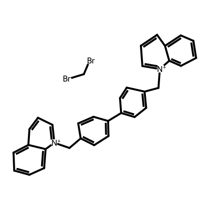 BrCBr.c1ccc2c(c1)ccc[n+]2Cc1ccc(-c2ccc(C[n+]3cccc4ccccc43)cc2)cc1